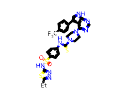 CCc1nnc(NS(=O)(=O)c2ccc(NC(=S)N3CCN(c4ncnc5[nH]cc(-c6ccc(C(F)(F)F)cc6)c45)CC3)cc2)s1